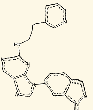 c1cncc(CCNc2ncc3ncn(-c4ccc5cn[nH]c5c4)c3n2)c1